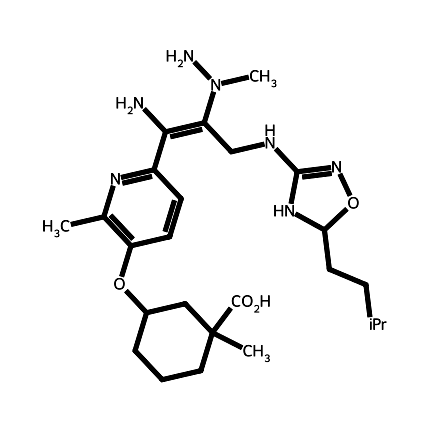 Cc1nc(/C(N)=C(\CNC2=NOC(CCC(C)C)N2)N(C)N)ccc1OC1CCCC(C)(C(=O)O)C1